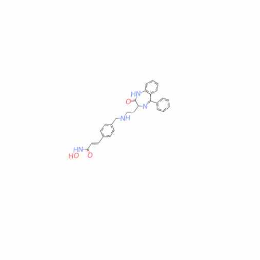 O=C(/C=C/c1ccc(CNCCC2N=C(c3ccccc3)c3ccccc3NC2=O)cc1)NO